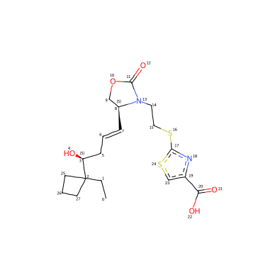 CCC1([C@@H](O)CC=C[C@H]2COC(=O)N2CCSc2nc(C(=O)O)cs2)CCC1